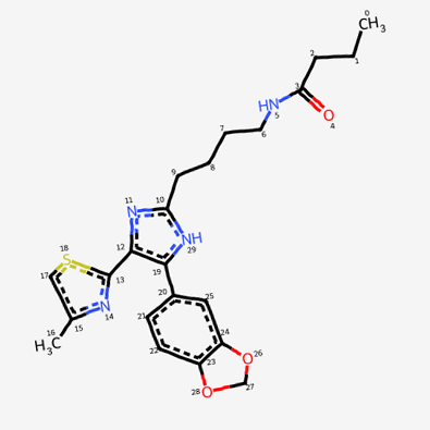 CCCC(=O)NCCCCc1nc(-c2nc(C)cs2)c(-c2ccc3c(c2)OCO3)[nH]1